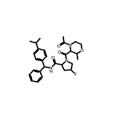 CC(=O)N1CCOC(C)C1C(=O)N1CC(F)CC1C(=O)NC(c1ccccc1)c1ccc(C(C)C)cc1